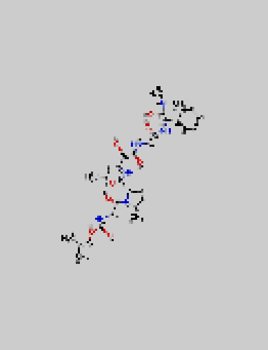 CCCC(NC(=O)[C@@H]1CC[C@H](C)N1C(=O)CNC(=O)OCC(C)C)C(=O)C(=O)NCC(=O)NC(C(=O)N(C)C)C1=CC=CCC1